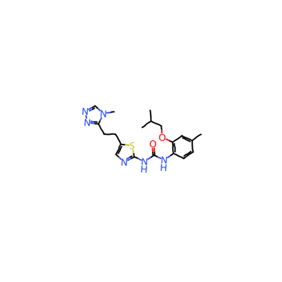 Cc1ccc(NC(=O)Nc2ncc(CCc3nncn3C)s2)c(OCC(C)C)c1